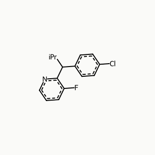 CC(C)C(c1ccc(Cl)cc1)c1ncccc1F